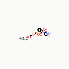 O=C(O)COCCOCC[S+]([O-])c1cccc2c1C(=O)N(C1CCC(=O)NC1=O)C2=O